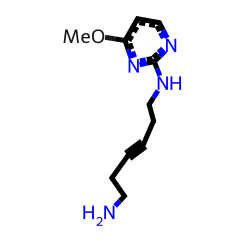 COc1ccnc(NCCC#CCCN)n1